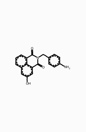 Nc1ccc(CN2C(=O)c3cccc4cc(O)cc(c34)C2=O)cc1